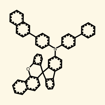 c1ccc(-c2ccc(N(c3ccc(-c4ccc5ccccc5c4)cc3)c3ccc4c(c3)C3(c5ccccc5Oc5c3ccc3ccccc53)c3ccccc3-4)cc2)cc1